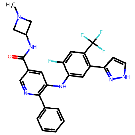 CN1CC(NC(=O)c2cnc(-c3ccccc3)c(Nc3cc(-c4cc[nH]n4)c(C(F)(F)F)cc3F)c2)C1